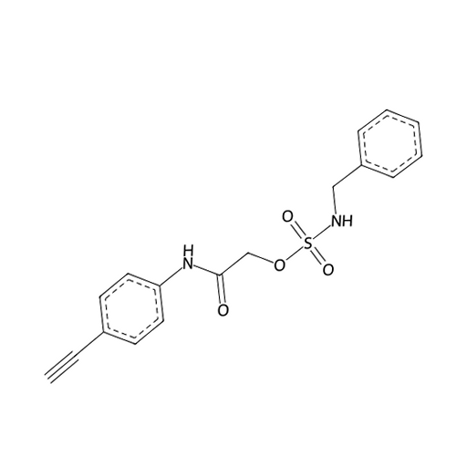 C#Cc1ccc(NC(=O)COS(=O)(=O)NCc2ccccc2)cc1